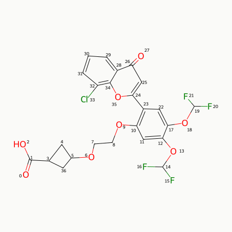 O=C(O)C1CC(OCCOc2cc(OC(F)F)c(OC(F)F)cc2-c2cc(=O)c3cccc(Cl)c3o2)C1